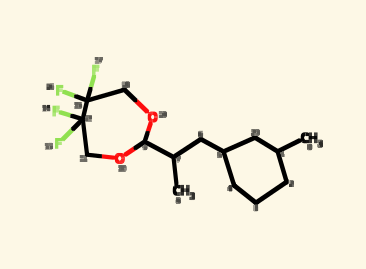 CC1CCCC(CC(C)C2OCC(F)(F)C(F)(F)CO2)C1